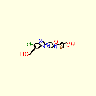 CN(C(=O)c1cc(CO)cs1)C1CCN(c2cnc3cc(Cl)c(C#CCO)cc3n2)CC1